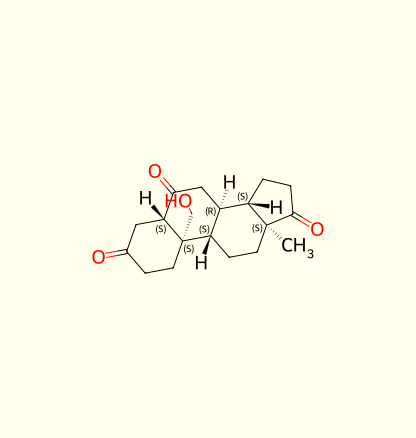 C[C@]12CC[C@H]3[C@@H](CC(=O)[C@H]4CC(=O)CC[C@@]43CO)[C@@H]1CCC2=O